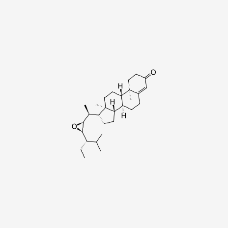 CC[C@@H](C(C)C)[C@H]1O[C@H]1[C@@H](C)[C@H]1CC[C@H]2[C@@H]3CCC4=CC(=O)CC[C@]4(C)[C@H]3CC[C@]12C